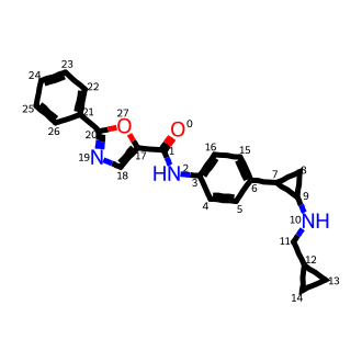 O=C(Nc1ccc(C2CC2NCC2CC2)cc1)c1cnc(-c2ccccc2)o1